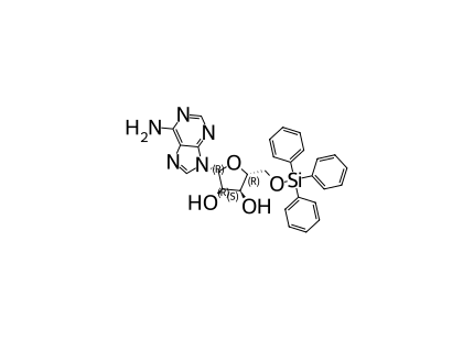 Nc1ncnc2c1ncn2[C@@H]1O[C@H](CO[Si](c2ccccc2)(c2ccccc2)c2ccccc2)[C@@H](O)[C@H]1O